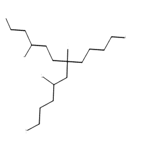 ICCCCC(I)(CCC(I)CCI)CC(I)CCCI